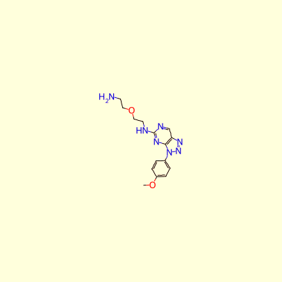 COc1ccc(-n2nnc3cnc(NCCOCCN)nc32)cc1